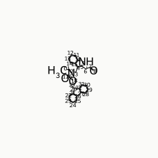 CCN(Cc1c(C[C]=O)[nH]c2ccccc12)C(=O)OCC1c2ccccc2-c2ccccc21